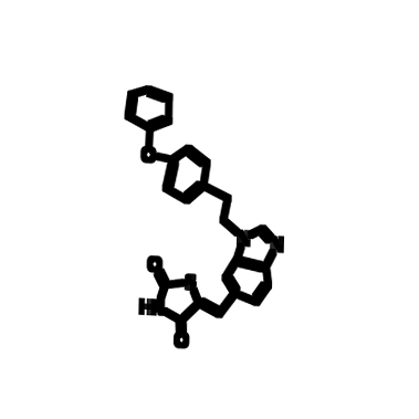 O=C1NC(=O)C(=Cc2ccc3ncn(CCc4ccc(Oc5ccccc5)cc4)c3c2)S1